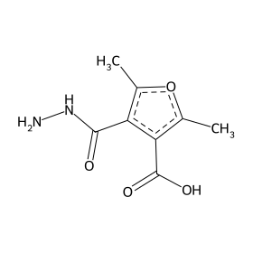 Cc1oc(C)c(C(=O)NN)c1C(=O)O